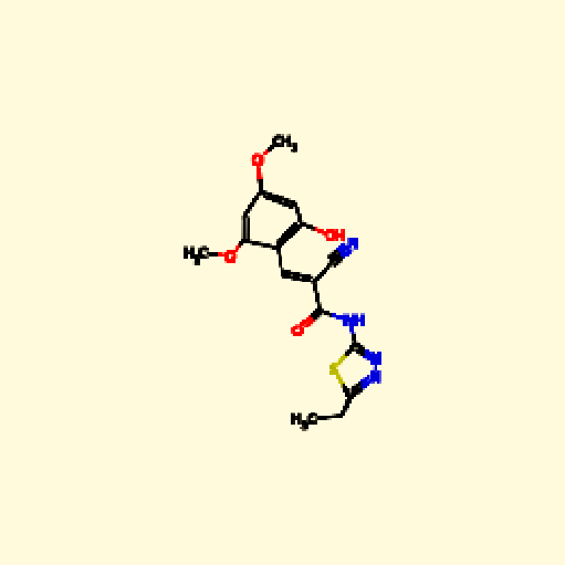 CCc1nnc(NC(=O)C(C#N)=Cc2c(O)cc(OC)cc2OC)s1